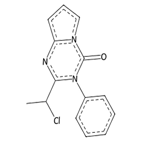 CC(Cl)c1nc2cccn2c(=O)n1-c1ccccc1